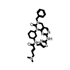 Cc1csc(Nc2ncc3c(n2)N(C2CCCC(NC(=O)/C=C/CN(C)C)C2)C(=O)N(Cc2ccccc2)C3)n1